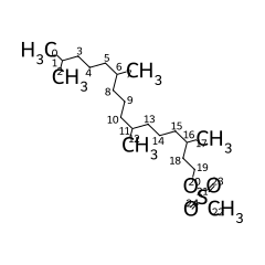 CC(C)CCCC(C)CCCC(C)CCCC(C)CCOS(C)(=O)=O